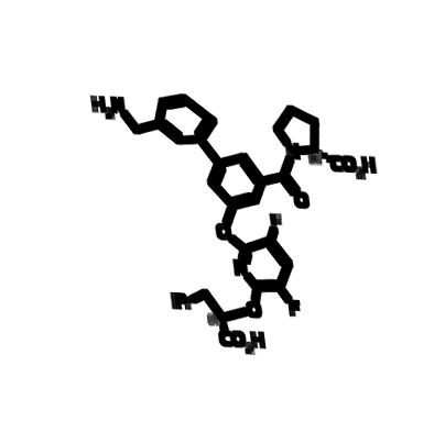 CC(C)C[C@@H](Oc1nc(Oc2cc(C(=O)N3CCC[C@@H]3C(=O)O)cc(-c3cccc(CN)c3)c2)c(F)cc1F)C(=O)O